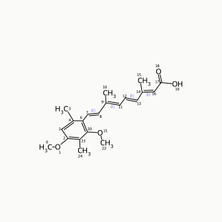 COc1cc(C)c(/C=C/C(C)=C/C=C/C(C)=C/C(=O)O)c(OC)c1C